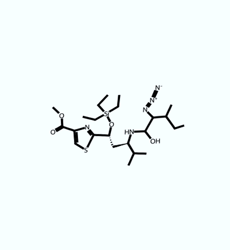 CCC(C)C(N=[N+]=[N-])C(O)N[C@H](C[C@@H](O[Si](CC)(CC)CC)c1nc(C(=O)OC)cs1)C(C)C